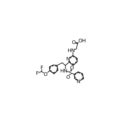 O=C(O)CNc1cccc(C(Cc2ccc(OC(F)F)cc2)NS(=O)(=O)c2cccnc2)n1